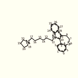 c1ccc2c(c1)SCCc1c-2n(CCCCCCN2CCCC2)c2ccccc12